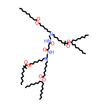 CCCCCCCCCC(=O)OCCCCCCCN(CCCCCCC(C)(C)C(=O)OC(CCCCCCCC)CCCCCCCC)CCNC(=O)CCC(=O)NCCN(CCCCCCCOC(=O)C(C)(C)CCCCCCCC)CCCCCCCC(=O)OC(CCCCCCCC)CCCCCCCC